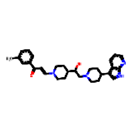 Cc1cccc(C(=O)C=CN2CCC(C(O)CN3CCC(c4c[nH]c5ncccc45)CC3)CC2)c1